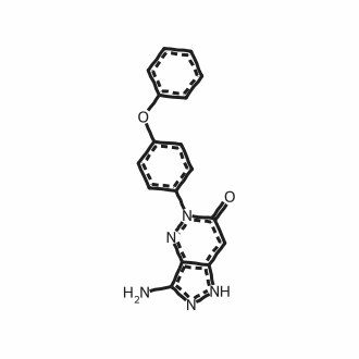 Nc1n[nH]c2cc(=O)n(-c3ccc(Oc4ccccc4)cc3)nc12